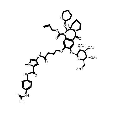 C=CCOC(=O)N1c2cc(OCCCC(=O)Nc3cc(C(=O)Nc4ccc(NC(=O)C(F)(F)F)cc4)n(C)c3)c(O[C@@H]3O[C@H](COC(C)=O)[C@H](OC(C)=O)[C@H](OC(C)=O)[C@H]3OC(C)=O)cc2C(=O)N2CCCC[C@H]2C1OC1CCCCO1